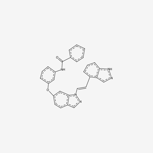 O=C(Nc1cccc(Oc2ccc3cnn(C=Cc4cccc5[nH]ncc45)c3c2)c1)c1ccccc1